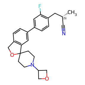 C[C@H](C#N)Cc1ccc(-c2ccc3c(c2)C2(CCN(C4COC4)CC2)OC3)cc1F